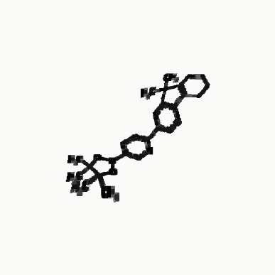 CC1(C)C2=C(CCC=C2)c2ccc(-c3ccc(B4OC(C)(C)C(C)(C)O4)cn3)cc21